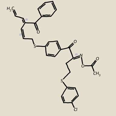 C=C/C=C(\C=C/CSc1ccc(C(=O)/C(CCSc2ccc(Cl)cc2)=N/OC(C)=O)cc1)C(=O)c1ccccc1